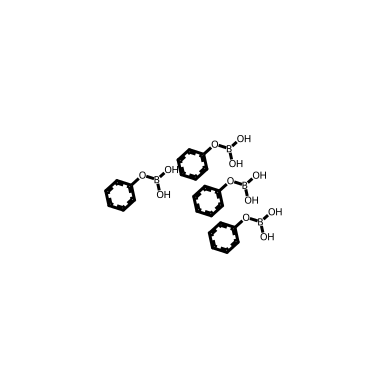 OB(O)Oc1ccccc1.OB(O)Oc1ccccc1.OB(O)Oc1ccccc1.OB(O)Oc1ccccc1